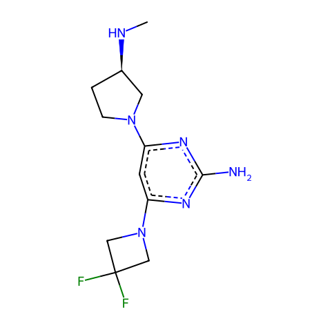 CN[C@@H]1CCN(c2cc(N3CC(F)(F)C3)nc(N)n2)C1